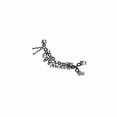 C=CCCCCCCC1(CCCCCCC=C)c2cc(C(C)C(CC)(CC)c3ccc4c(c3)C(c3ccc5c(c3)CC5)(c3ccc5c(c3)CC5)c3cc(C(C)(C)C(CC)c5ccc6c(c5)C(CCCCCC)(CCCCCC)c5cc(C(C)(CC)C(C)(CC)c7ccc(N(c8ccc(C(C)CC)cc8)c8ccc(C(C)(C)CC)cc8)cc7)ccc5-6)ccc3-4)ccc2-c2ccc(C(C)(C)CC)cc21